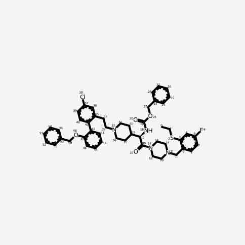 CCSc1cc(F)ccc1CN1CCN(C(=O)[C@H](NC(=O)OCc2ccccc2)C2CCN(CCc3cc(Cl)ccc3-c3ccccc3OCc3ccccc3)CC2)CC1